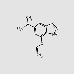 C=COc1cc(C(C)C)cc2nn[nH]c12